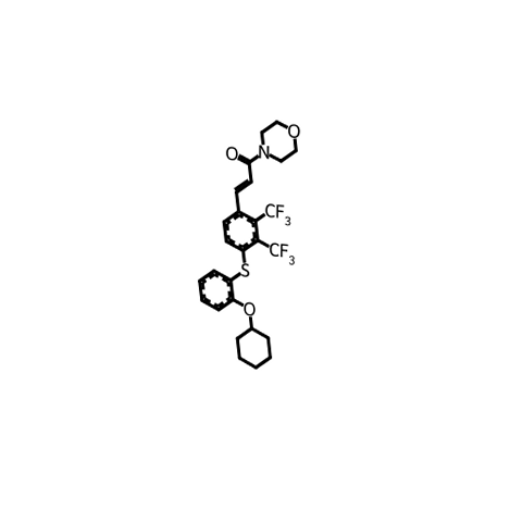 O=C(C=Cc1ccc(Sc2ccccc2OC2CCCCC2)c(C(F)(F)F)c1C(F)(F)F)N1CCOCC1